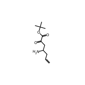 C=CCC(N)CC(=O)C(=O)OC(C)(C)C